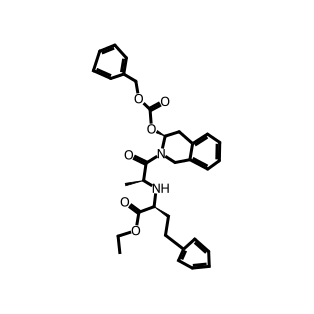 CCOC(=O)[C@H](CCc1ccccc1)N[C@@H](C)C(=O)N1Cc2ccccc2C[C@@H]1OC(=O)OCc1ccccc1